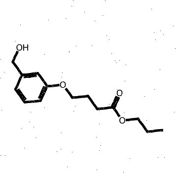 CCCOC(=O)CCCOc1cccc(CO)c1